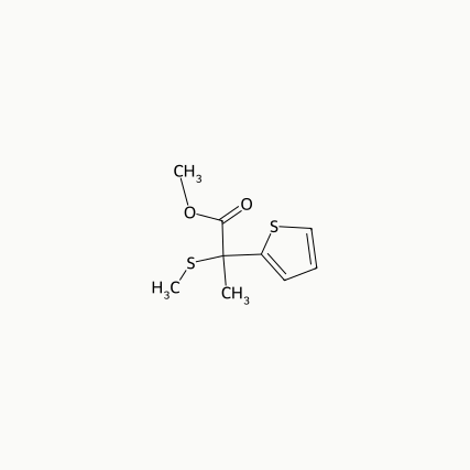 COC(=O)C(C)(SC)c1cccs1